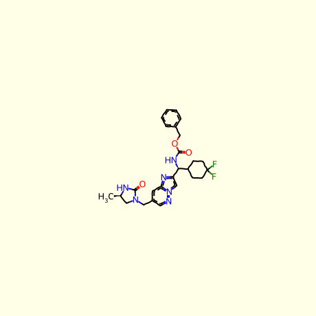 C[C@@H]1CN(Cc2cnn3cc([C@@H](NC(=O)OCc4ccccc4)C4CCC(F)(F)CC4)nc3c2)C(=O)N1